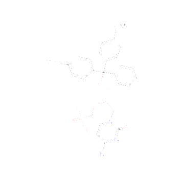 COc1ccc(C(OC[C@H](Cn2ccc(N)nc2=O)OCP(=O)(O)O)(c2ccccc2)c2ccc(OC)cc2)cc1